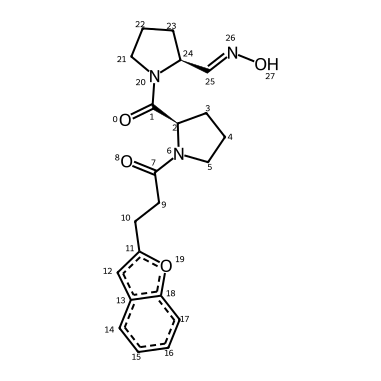 O=C([C@H]1CCCN1C(=O)CCc1cc2ccccc2o1)N1CCC[C@H]1C=NO